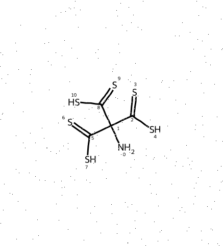 NC(C(=S)S)(C(=S)S)C(=S)S